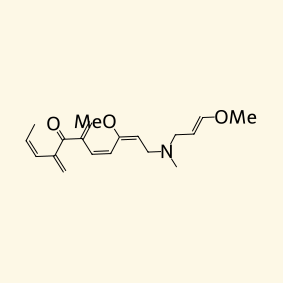 C=C(/C=C\C)C(=O)C(=C)/C=C\C(=C/CN(C)C/C=C/OC)OC